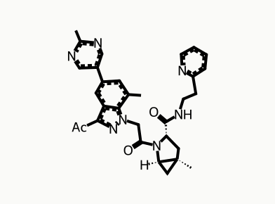 CC(=O)c1nn(CC(=O)N2[C@H](C(=O)NCCc3ccccn3)C[C@@]3(C)C[C@@H]23)c2c(C)cc(-c3cnc(C)nc3)cc12